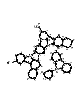 CC(C)(C)c1ccc2c(c1)c1c3ccccc3cc3c4cc5c(nc4n2c31)c1cc(C(C)(C)C)cc2c3cc4ccccc4c(-c4ccc6c(c4)c4ccccc4n6-c4ccccc4)c3n5c21